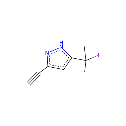 C#Cc1cc(C(C)(C)I)[nH]n1